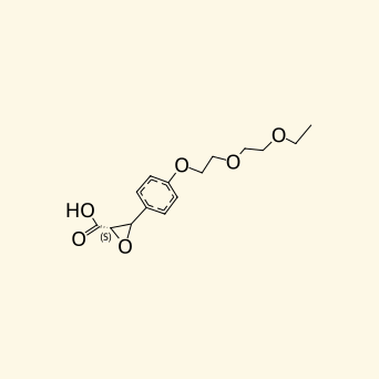 CCOCCOCCOc1ccc(C2O[C@@H]2C(=O)O)cc1